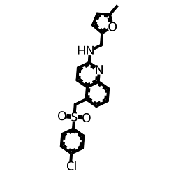 Cc1ccc(CNc2ccc3c(CS(=O)(=O)c4ccc(Cl)cc4)cccc3n2)o1